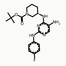 CC(C)(C)OC(=O)N1CCC[C@@H](Nc2nc(Nc3ccc(F)cc3)ncc2N)C1